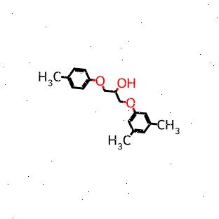 Cc1ccc(OCC(O)COc2cc(C)cc(C)c2)cc1